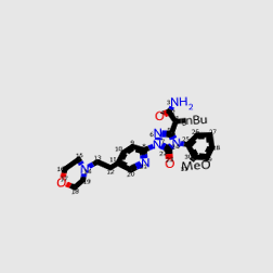 CCCCC(C(N)=O)c1nn(-c2ccc(CCN3CCOCC3)cn2)c(=O)n1-c1ccccc1OC